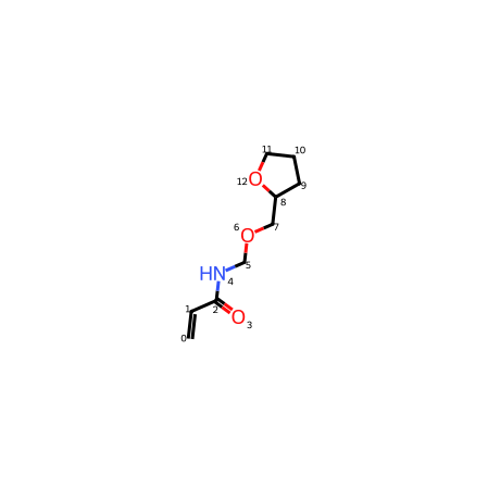 C=CC(=O)NCOCC1CCCO1